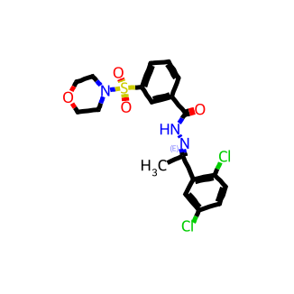 C/C(=N\NC(=O)c1cccc(S(=O)(=O)N2CCOCC2)c1)c1cc(Cl)ccc1Cl